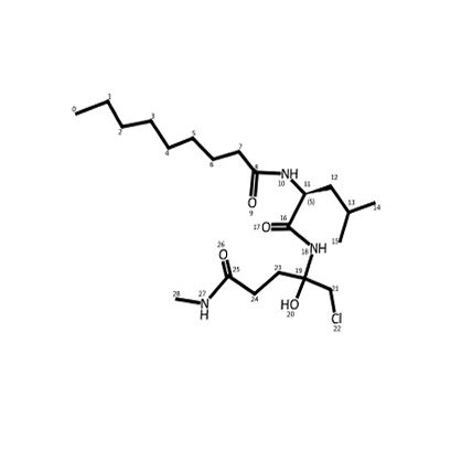 CCCCCCCCC(=O)N[C@@H](CC(C)C)C(=O)NC(O)(CCl)CCC(=O)NC